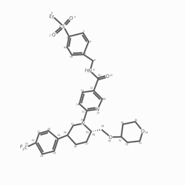 CCS(=O)(=O)c1ccc(CNC(=O)c2ccc(N3CC(c4ccc(C(F)(F)F)cc4)CC[C@H]3COC3CCOCC3)nc2)cc1